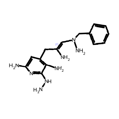 NNc1nc(N)cc(C/C(N)=C/N(N)Cc2ccccc2)c1N